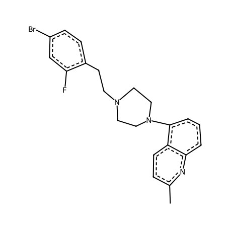 Cc1ccc2c(N3CCN(CCc4ccc(Br)cc4F)CC3)cccc2n1